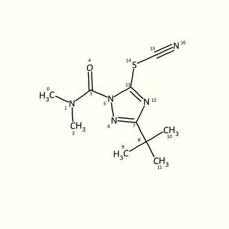 CN(C)C(=O)n1nc(C(C)(C)C)nc1SC#N